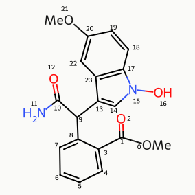 COC(=O)c1ccccc1C(C(N)=O)c1cn(O)c2ccc(OC)cc12